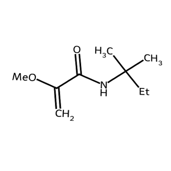 C=C(OC)C(=O)NC(C)(C)CC